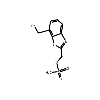 CC(C)Cc1cccc2nc(COS(C)(=O)=O)oc12